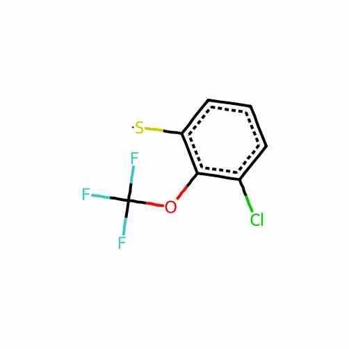 FC(F)(F)Oc1c([S])cccc1Cl